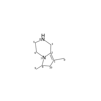 CC1=C2CNCCN2C(C)C1